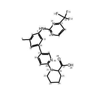 Cc1cc(Nc2nccc(C(F)(F)F)n2)cc(-c2ccc(N3CCCCC3C(=O)O)nc2)c1